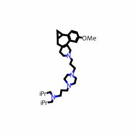 COc1ccc2c(c1)C1=C(CCN(CCCN3CCN(CCCN(CC(C)C)CC(C)C)CC3)C1)CC1CC21